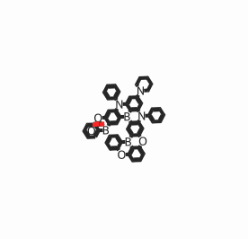 c1ccc(N2c3cc4c(cc3B3c5cc6c(cc5N(c5ccccc5)c5cc(N7CCCCC7)cc2c53)Oc2cccc3c2B6c2ccccc2O3)B2c3ccccc3Oc3cccc(c32)O4)cc1